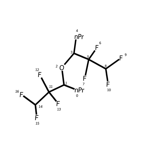 CCCC(OC(CCC)C(F)(F)C(F)F)C(F)(F)C(F)F